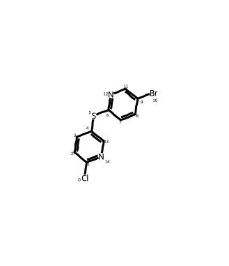 Clc1ccc(Sc2ccc(Br)cn2)cn1